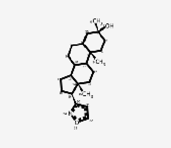 C[C@@]1(O)CC[C@@]2(C)C(CCC3C2CC[C@@]2(C)C3CC[C@@H]2c2ccon2)C1